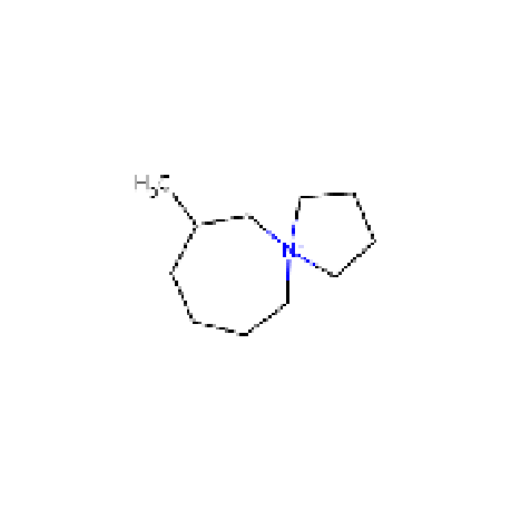 CC1CCCC[N+]2(CCCC2)C1